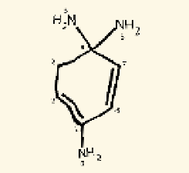 NC1=CCC(N)(N)C=C1